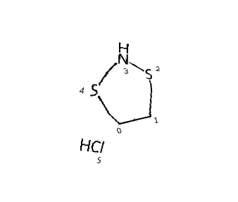 C1CSNS1.Cl